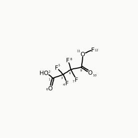 O=C(O)C(F)(F)C(F)(F)C(=O)OF